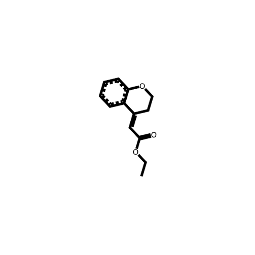 CCOC(=O)C=C1CCOc2ccccc21